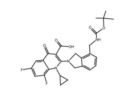 CC(C)(C)OC(=O)NCc1cccc2c1CN(c1c(C(=O)O)c(=O)c3cc(F)cc(F)c3n1C1CC1)C2